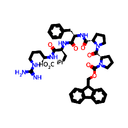 CC(C)C[C@H](NC(=O)[C@H](Cc1ccccc1)NC(=O)[C@@H]1CCCN1C(=O)[C@@H]1CCCN1C(=O)OCC1c2ccccc2-c2ccccc21)C(=O)N[C@@H](CCCNC(=N)N)C(=O)O